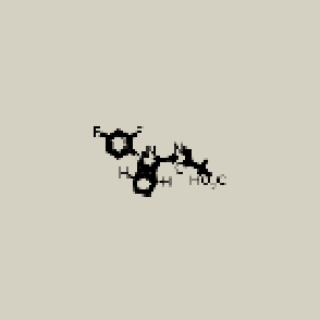 CC(C)(C(=O)O)c1cnc(-c2nn(-c3ccc(F)cc3F)c3c2[C@@H]2CC[C@H]3C2)o1